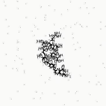 N=C(N)NCCCC[C@@H](NC(=O)[C@@H](CC(=O)O)NC(=O)CC[C@@H](NC(=O)c1ccc(NCc2cnc3nc(N)[nH]c(=O)c3n2)cc1)C(=O)O)C(=O)N[C@H](CC(=O)O)C(=O)N[C@H](CC(=O)O)C(=O)N[C@H](CS)C(=O)O